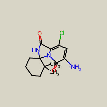 CC1(C)CCCCC12NC(=O)c1c(Cl)cc(N)c(=O)n12